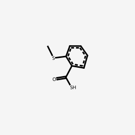 CSc1ccccc1C(=O)S